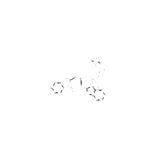 CCN1C(=CC(C)=Cc2sc3ccccc3[n+]2CCC(C)OS(=O)(=O)[O-])Sc2ccccc21